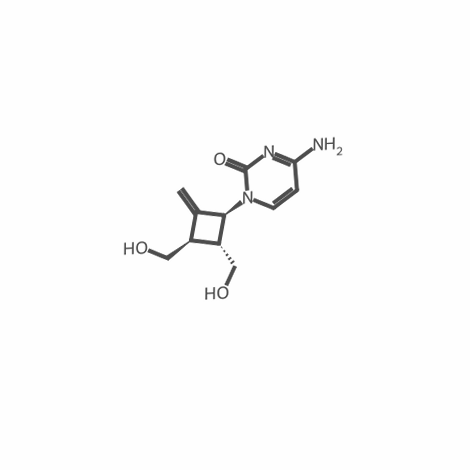 C=C1[C@@H](n2ccc(N)nc2=O)[C@H](CO)[C@H]1CO